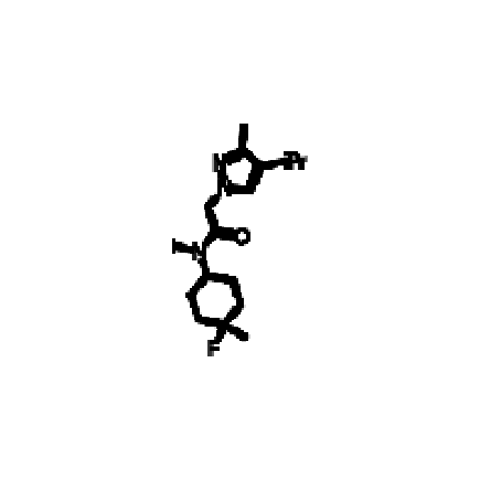 Cc1nn(CC(=O)N(I)C2CCC(C)(F)CC2)cc1C(C)C